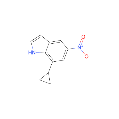 O=[N+]([O-])c1cc(C2CC2)c2[nH]ccc2c1